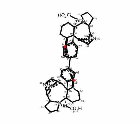 O=C=C1CCC[C@@]2(NC(=O)O)N3CCCC3c3ncc([nH]3)[C@]12c1ccc(-c2ccc([C@@]34C(=C=O)CCC[C@@]3(NC(=O)O)N3CCCC3c3ncc4[nH]3)cc2)cc1